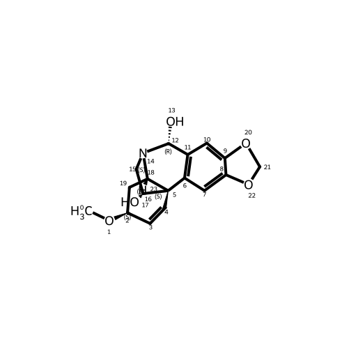 CO[C@@H]1C=C[C@@]23c4cc5c(cc4[C@@H](O)N(C[C@H]2O)[C@H]3C1)OCO5